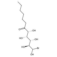 CCCCCCC(=O)[C@H](O)[C@@H](O)[C@H](O)[C@H](O)C(O)Br